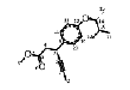 CC#C[C@@H](CC(=O)OC)c1ccc(O[C@H](C)C(C)C)cc1